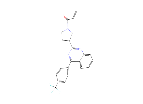 C=CC(=O)N1CCC(c2nc(-c3ccc(C(F)(F)F)cc3)c3ccccc3n2)C1